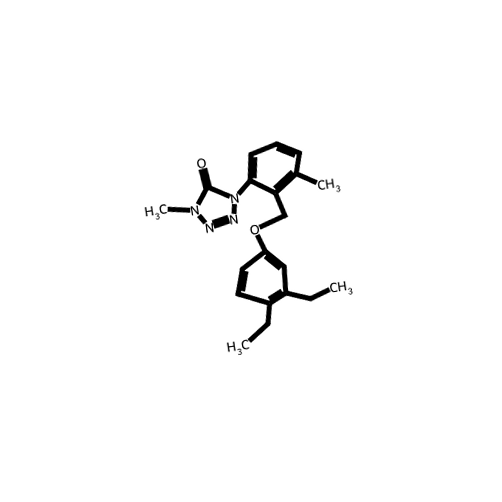 CCc1ccc(OCc2c(C)cccc2-n2nnn(C)c2=O)cc1CC